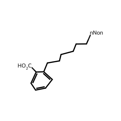 CCCCCCCCCCCCCCCc1ccccc1C(=O)O